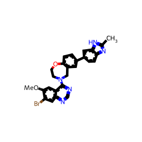 COc1cc2c(N3CCOc4ccc(-c5ccc6nc(C)[nH]c6c5)cc4C3)ncnc2cc1Br